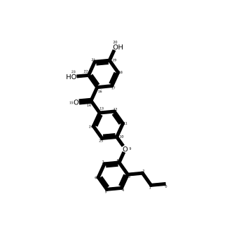 CCCc1ccccc1Oc1ccc(C(=O)c2ccc(O)cc2O)cc1